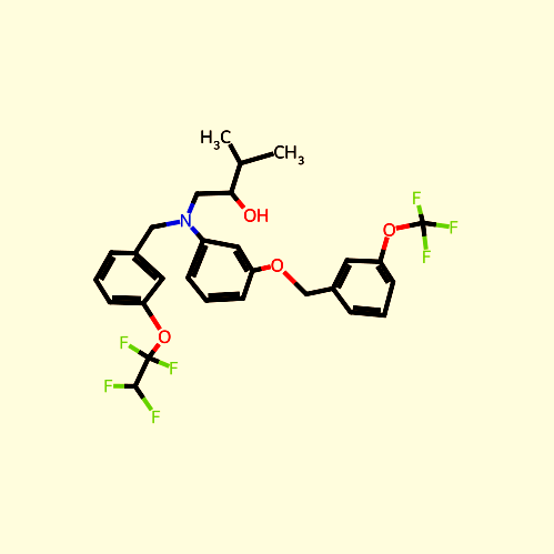 CC(C)C(O)CN(Cc1cccc(OC(F)(F)C(F)F)c1)c1cccc(OCc2cccc(OC(F)(F)F)c2)c1